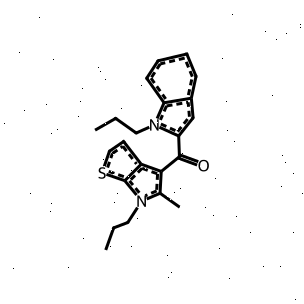 CCCn1c(C(=O)c2c(C)n(CCC)c3sccc23)cc2ccccc21